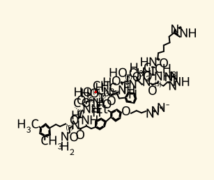 CCc1cc(OCCCCN=[N+]=[N-])ccc1-c1ccc(CC(NC(=O)[C@H](CC(=O)O)NC(=O)[C@H](CO)NC(=O)[C@@H](NC(=O)[C@](C)(Cc2ccccc2F)NC(=O)[C@@H](NC(=O)CNC(=O)[C@H](Cc2nn[nH]n2)NC(=O)C(C)(C)NC(=O)CCCCCc2c[nH]cn2)[C@@H](C)O)[C@@H](C)O)C(=O)N[C@@H](CCCc2cc(C)cc(C)c2)C(N)=O)cc1